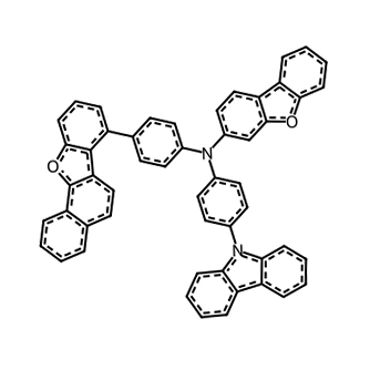 c1ccc2c(c1)ccc1c2oc2cccc(-c3ccc(N(c4ccc(-n5c6ccccc6c6ccccc65)cc4)c4ccc5c(c4)oc4ccccc45)cc3)c21